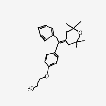 CC1(C)CC(=C(c2ccccc2)c2ccc(OCCO)cc2)CC(C)(C)O1